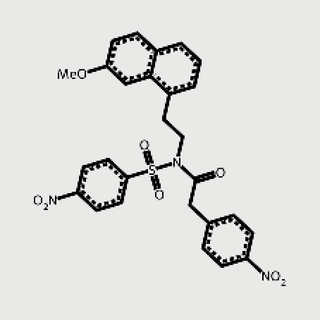 COc1ccc2cccc(CCN(C(=O)Cc3ccc([N+](=O)[O-])cc3)S(=O)(=O)c3ccc([N+](=O)[O-])cc3)c2c1